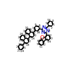 c1ccc(-c2nc(-c3cccc(-c4ccc(-c5ccc(-c6ccccc6)c6ccccc56)c5ccccc45)c3)nc(-c3cccc4c3oc3ccccc34)n2)cc1